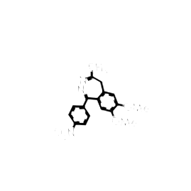 COc1cc2c(cc1OC)C(c1ccc([N+](=O)[O-])cc1)=NN=C(C)C2